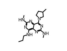 CCCNc1nc(NC)nc2c(N3CCC(C)C3)nc(NC)nc12